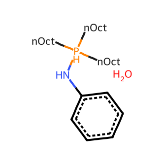 CCCCCCCC[PH](CCCCCCCC)(CCCCCCCC)Nc1ccccc1.O